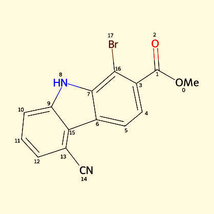 COC(=O)c1ccc2c([nH]c3cccc(C#N)c32)c1Br